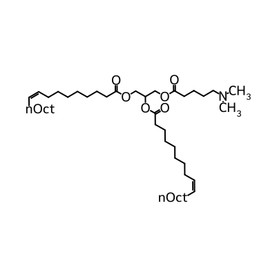 CCCCCCCC/C=C\CCCCCCCC(=O)OCC(COC(=O)CCCCN(C)C)OC(=O)CCCCCCC/C=C\CCCCCCCC